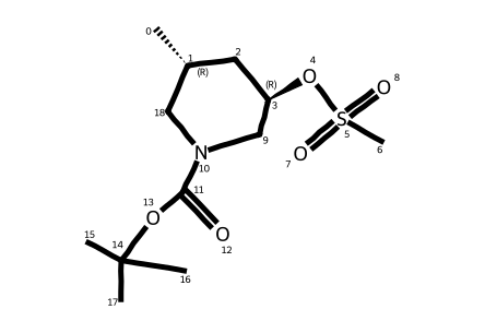 C[C@@H]1C[C@@H](OS(C)(=O)=O)CN(C(=O)OC(C)(C)C)C1